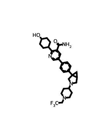 NC(=O)c1cc(-c2ccc(C34CC3CN(C3CCN(CC(F)(F)F)CC3)C4)cc2)cnc1C1CCC(O)CC1